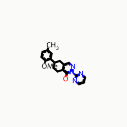 COc1ccc(C)cc1C1CCc2c(cnn(-c3ncccn3)c2=O)C1